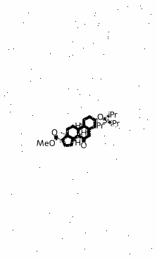 COC(=O)[C@H]1CC[C@H]2[C@@H]3C(=O)C=C4C[C@@H](O[Si](C(C)C)(C(C)C)C(C)C)CC[C@]4(C)[C@H]3CC[C@]12C